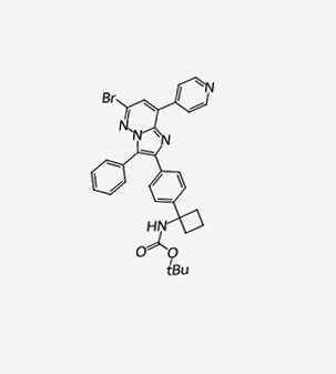 CC(C)(C)OC(=O)NC1(c2ccc(-c3nc4c(-c5ccncc5)cc(Br)nn4c3-c3ccccc3)cc2)CCC1